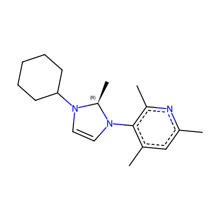 Cc1cc(C)c(N2C=CN(C3CCCCC3)[C@H]2C)c(C)n1